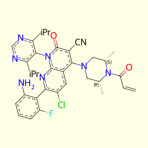 C=CC(=O)N1[C@H](C)CN(c2c(C#N)c(=O)n(-c3c(C(C)C)ncnc3C(C)C)c3nc(-c4c(N)cccc4F)c(Cl)cc23)C[C@@H]1C